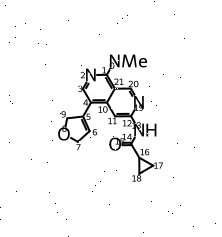 CNc1ncc(C2=CCOC2)c2cc(NC(=O)C3CC3)ncc12